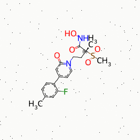 Cc1ccc(-c2ccn(CC[C@](C)(C(=O)NO)S(C)(=O)=O)c(=O)c2)c(F)c1